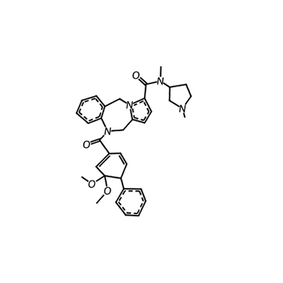 COC1(OC)C=C(C(=O)N2Cc3ccc(C(=O)N(C)C4CCN(C)C4)n3Cc3ccccc32)C=CC1c1ccccc1